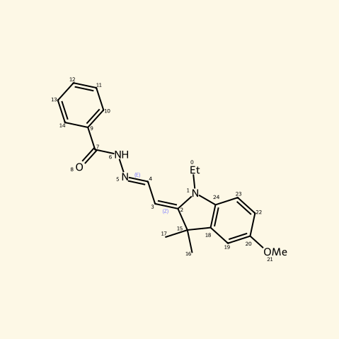 CCN1/C(=C\C=N\NC(=O)c2ccccc2)C(C)(C)c2cc(OC)ccc21